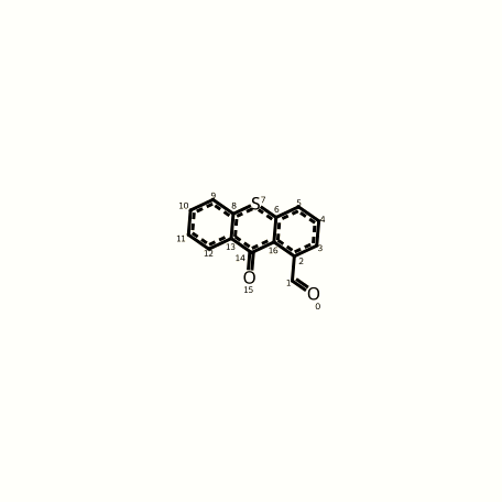 O=Cc1cccc2sc3ccccc3c(=O)c12